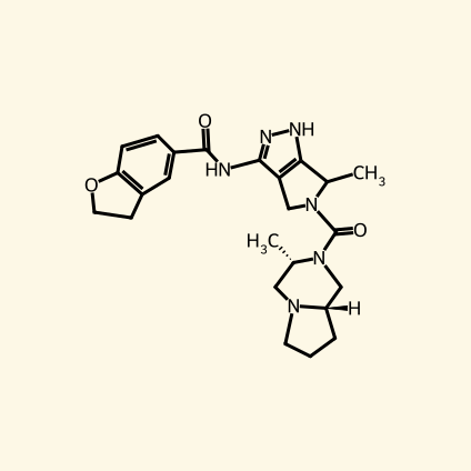 CC1c2[nH]nc(NC(=O)c3ccc4c(c3)CCO4)c2CN1C(=O)N1C[C@@H]2CCCN2C[C@@H]1C